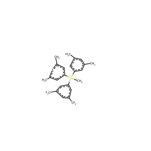 Cc1cc(C)cc(S(C)(c2cc(C)cc(C)c2)c2cc(C(F)(F)F)cc(C(F)(F)F)c2)c1